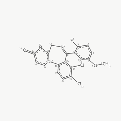 COc1ccc(F)c(C2=NCc3nc(=O)ccn3-c3ccc(Cl)c(Cl)c32)c1